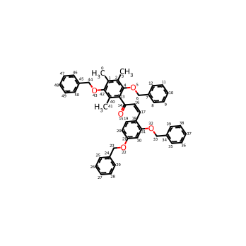 Cc1c(C)c(OCc2ccccc2)c(C(=O)C=Cc2ccc(OCc3ccccc3)cc2OCc2ccccc2)c(C)c1OCc1ccccc1